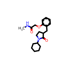 CNC(=O)COc1ccccc1CC1CCN(C2CCCCC2)C1=O